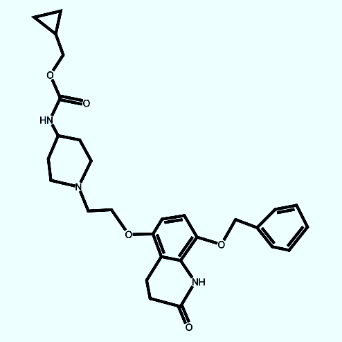 O=C1CCc2c(OCCN3CCC(NC(=O)OCC4CC4)CC3)ccc(OCc3ccccc3)c2N1